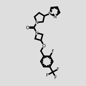 O=C(N1CC(OCc2ccc(C(F)(F)F)cc2F)C1)N1CCC(n2cccn2)C1